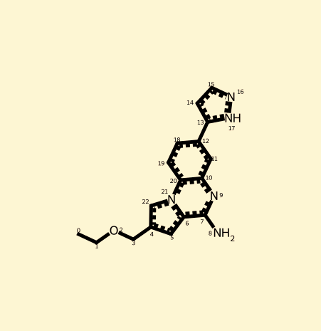 CCOCc1cc2c(N)nc3cc(-c4ccn[nH]4)ccc3n2c1